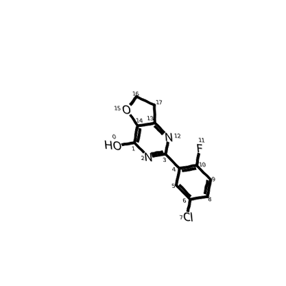 Oc1nc(-c2cc(Cl)ccc2F)nc2c1OCC2